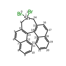 [Br][Sn]1([Br])[CH2]c2ccc3ccccc3c2-c2c(ccc3ccccc23)[CH2]1